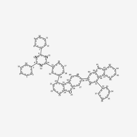 c1ccc(-c2nc(-c3ccccc3)nc(-c3cccc(-c4cccc5oc6cc(-c7cc(-c8ccccc8)c8c(c7)sc7ccccc78)ccc6c45)c3)n2)cc1